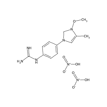 CON1CN(c2ccc(NC(=N)N)cc2)C=C1C.O=[N+]([O-])O.O=[N+]([O-])O